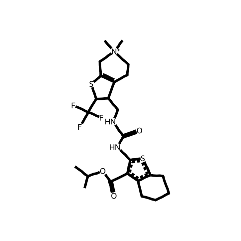 CC(C)OC(=O)c1c(NC(=O)NCC2C3=C(C[N+](C)(C)CC3)SC2C(F)(F)F)sc2c1CCCC2